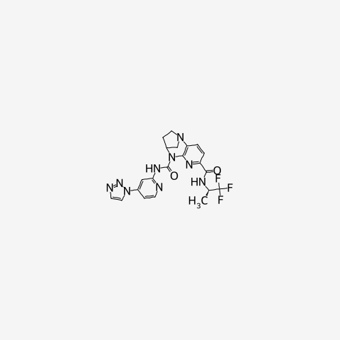 C[C@@H](NC(=O)c1ccc2c(n1)N(C(=O)Nc1cc(-n3ccnn3)ccn1)C1CCN2C1)C(F)(F)F